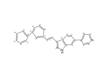 C(=C\c1n[nH]c2cc(-c3ccncc3)ccc12)/c1cccc(-c2ccccc2)c1